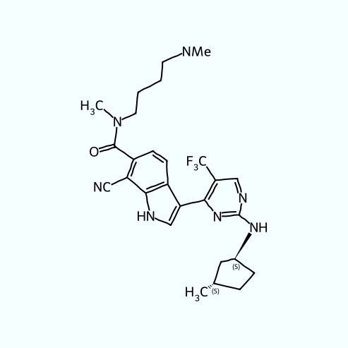 CNCCCCN(C)C(=O)c1ccc2c(-c3nc(N[C@H]4CC[C@H](C)C4)ncc3C(F)(F)F)c[nH]c2c1C#N